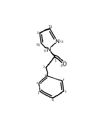 O=C(Cc1ccccc1)n1cccn1